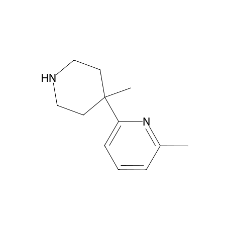 Cc1cccc(C2(C)CCNCC2)n1